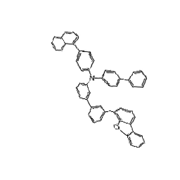 c1ccc(-c2ccc(N(c3ccc(-c4cccc5ccccc45)cc3)c3cccc(-c4cccc(-c5cccc6c5oc5ccccc56)c4)c3)cc2)cc1